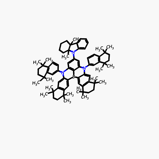 CC1(C)CCC(C)(C)c2cc(N3c4cc5c(cc4B4c6cc7c(cc6N(c6ccc8c(c6)C(C)(C)CCC8(C)C)c6cc(N8c9ccccc9C9(C)CCCCC89C)cc3c64)C(C)(C)CCC7(C)C)C(C)(C)CCC5(C)C)ccc21